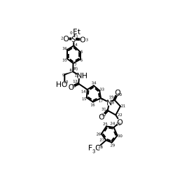 CCS(=O)(=O)c1ccc([C@H](CO)NC(=O)c2ccc(N3C(=O)CC(Oc4ccc(C(F)(F)F)cc4)C3=O)cc2)cc1